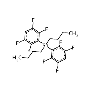 CCC[CH2][Sn]([CH2]CCC)([c]1c(F)c(F)cc(F)c1F)[c]1c(F)c(F)cc(F)c1F